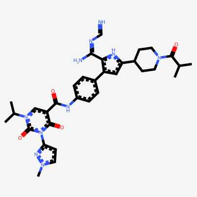 CC(C)C(=O)N1CCC(c2cc(-c3ccc(NC(=O)c4cn(C(C)C)c(=O)n(-c5ccn(C)n5)c4=O)cc3)c(/C(N)=N\C=N)[nH]2)CC1